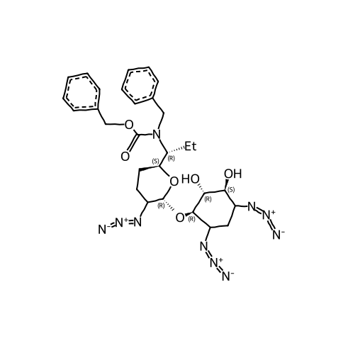 CC[C@H]([C@@H]1CCC(N=[N+]=[N-])[C@@H](O[C@@H]2C(N=[N+]=[N-])CC(N=[N+]=[N-])[C@H](O)[C@H]2O)O1)N(Cc1ccccc1)C(=O)OCc1ccccc1